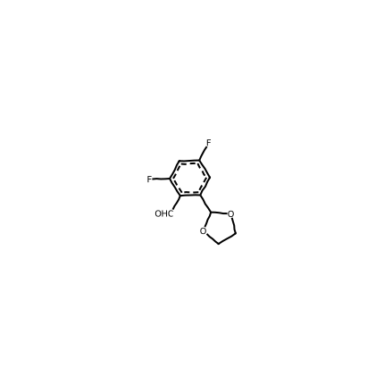 O=Cc1c(F)cc(F)cc1C1OCCO1